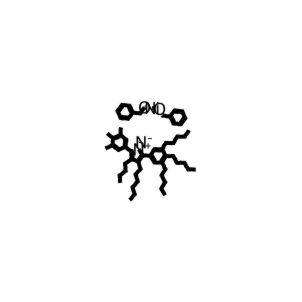 CCCCCCC1=C(c2cc(CCCCC)c(CCCCC)c(CCCCC)c2)[N+](=[N-])C(c2cc(C)c(C)c(C)c2)=C1CCCC.c1ccc(C[O][Ni][O]Cc2ccccc2)cc1